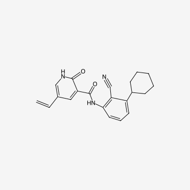 C=Cc1c[nH]c(=O)c(C(=O)Nc2cccc(C3CCCCC3)c2C#N)c1